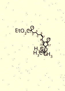 CCOC(=O)C(=O)CCC/C=C\CC1=CC(O[Si](C)(C)C)CC1=O